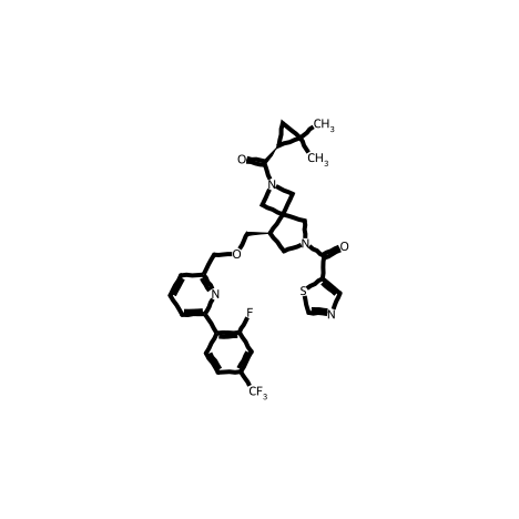 CC1(C)C[C@@H]1C(=O)N1CC2(CN(C(=O)c3cncs3)C[C@H]2COCc2cccc(-c3ccc(C(F)(F)F)cc3F)n2)C1